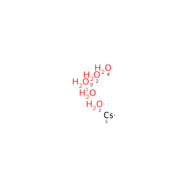 O.O.O.O.O.[Cs]